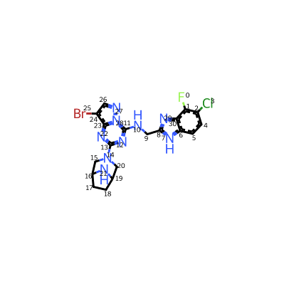 Fc1c(Cl)ccc2[nH]c(CNc3nc(N4CC5CCC(C4)N5)nc4c(Br)cnn34)nc12